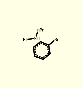 Brc1ccccc1.CCCNCC